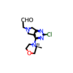 C[C@H]1COCCN1c1nc(Cl)nc2c1CN(CC=O)C2